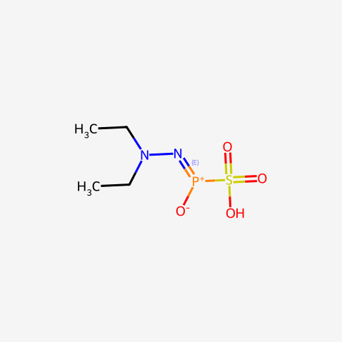 CCN(CC)/N=[P+](\[O-])S(=O)(=O)O